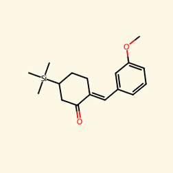 COc1cccc(C=C2CCC([Si](C)(C)C)CC2=O)c1